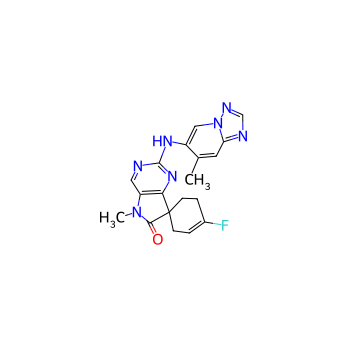 Cc1cc2ncnn2cc1Nc1ncc2c(n1)C1(CC=C(F)CC1)C(=O)N2C